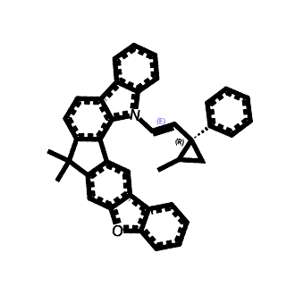 CC1C[C@@]1(/C=C/n1c2ccccc2c2ccc3c(c21)-c1cc2c(cc1C3(C)C)oc1ccccc12)c1ccccc1